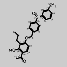 CCCc1c(OCc2ccc([S+]([O-])c3cccc(N)c3)cc2)ccc(C(C)=O)c1O